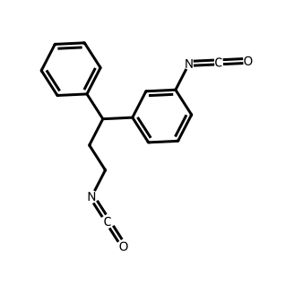 O=C=NCCC(c1ccccc1)c1cccc(N=C=O)c1